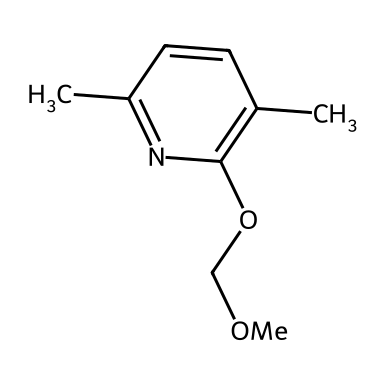 COCOc1nc(C)ccc1C